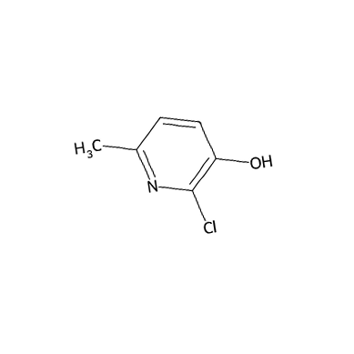 Cc1ccc(O)c(Cl)n1